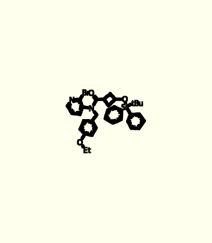 CCOc1ccc(CN(C(=O)C2CC(O[Si](c3ccccc3)(c3ccccc3)C(C)(C)C)C2)c2cccnc2Br)cc1